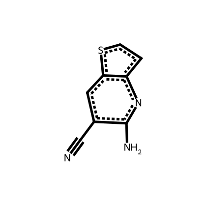 N#Cc1cc2sccc2nc1N